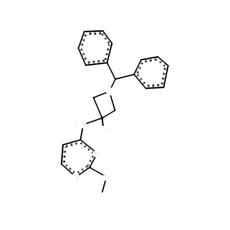 CC(C)Nc1nccc(NC2(C)CN(C(c3ccccc3)c3ccccc3)C2)n1